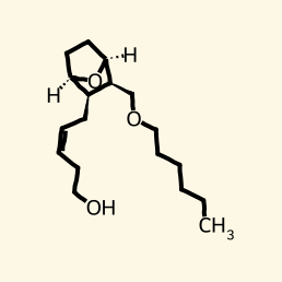 CCCCCCOC[C@H]1[C@@H](C/C=C\CCO)[C@H]2CC[C@@H]1O2